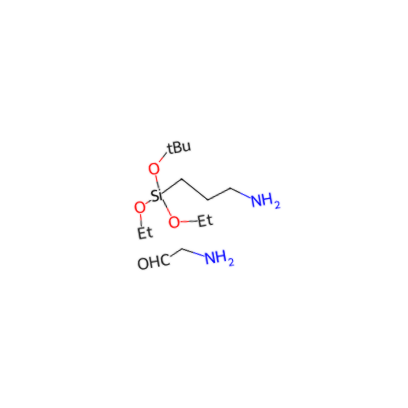 CCO[Si](CCCN)(OCC)OC(C)(C)C.NCC=O